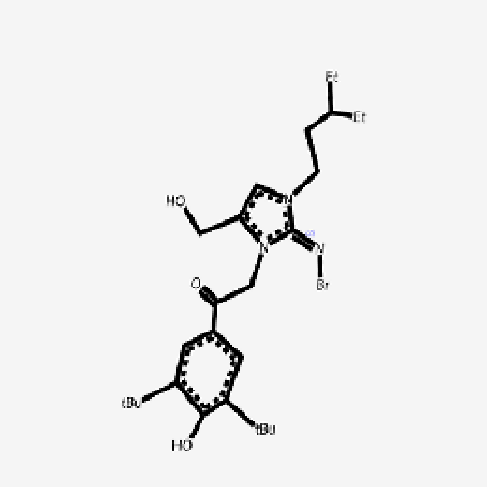 CCC(CC)CCn1cc(CO)n(CC(=O)c2cc(C(C)(C)C)c(O)c(C(C)(C)C)c2)/c1=N\Br